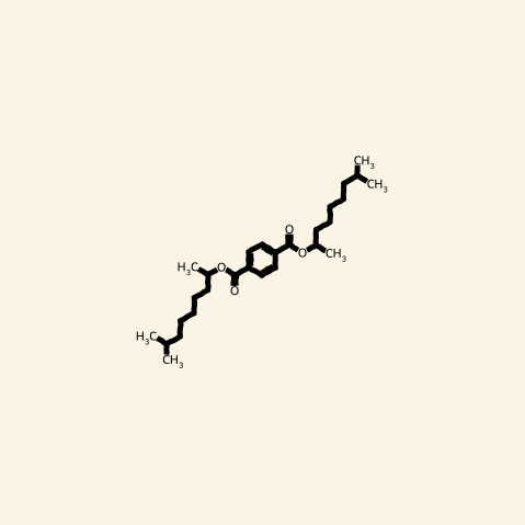 CC(C)CCCCCC(C)OC(=O)c1ccc(C(=O)OC(C)CCCCCC(C)C)cc1